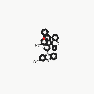 N#Cc1ccc2c(c1)Sc1ccccc1N2c1cnc2c(c1)C1(c3ccccc3Oc3cccc(-n4c5ccccc5c5cc(C#N)ccc54)c31)c1cccnc1-2